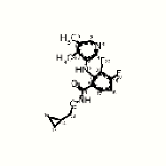 Cc1cncc(Nc2c(C(=O)NOCC3CC3)ccc(F)c2F)c1C